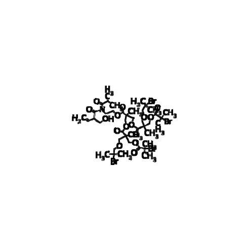 C=CC(CO)C(=O)N(CCOC(=O)C(C)(COC(=O)C(C)(COCC(C)(C)Br)COC(=O)C(C)(C)Br)COC(=O)C(C)(COCC(C)(C)Br)COC(=O)C(C)(C)Br)C(=O)C(C)C